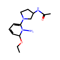 CCOC1C=CC=C(N2CCC(NC(C)=O)C2)N1N